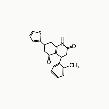 Cc1ccccc1C1CC(=O)NC2=C1C(=O)CC(c1cccs1)C2